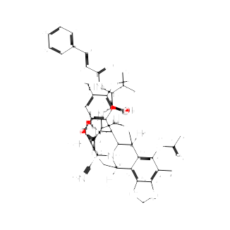 COc1c(C)cc2c(c1O)[C@H]1C3[C@@H]4SC[C@H](NC(=O)C(NC(=O)/C=C/c5ccccc5)C(C)C)C(=O)OC[C@@H](c5c6c(c(C)c(OC(C)=O)c54)OCO6)N3[C@@H](C#N)[C@@H](C2)N1C